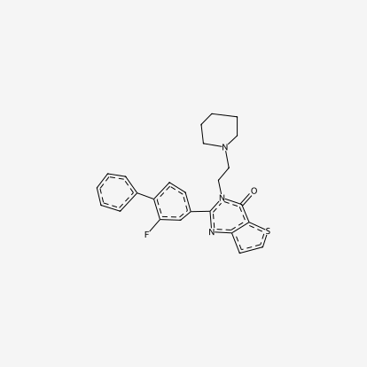 O=c1c2sccc2nc(-c2ccc(-c3ccccc3)c(F)c2)n1CCN1CCCCC1